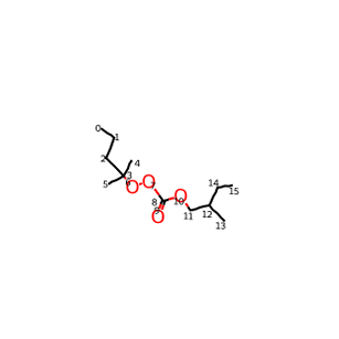 CCCC(C)(C)OOC(=O)OCC(C)CC